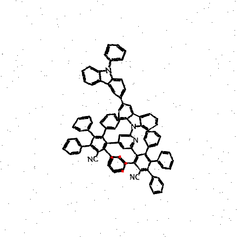 N#Cc1c(-c2ccccc2)c(-c2ccccc2)c(-c2ccccc2)c(-c2cc(-c3c(-c4ccccc4)c(C#N)c(-c4ccccc4)c(-c4ccccc4)c3-c3ccccc3)nc(-n3c4ccccc4c4cc(-c5ccc6c(c5)c5ccccc5n6-c5ccccc5)ccc43)c2)c1-c1ccccc1